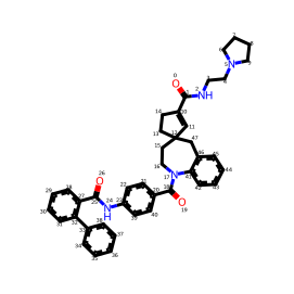 O=C(NCCN1CCCC1)C1=CC2(CC1)CCN(C(=O)c1ccc(NC(=O)c3ccccc3-c3ccccc3)cc1)c1ccccc1C2